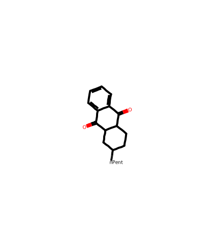 CCCCCC1CCC2C(=O)c3ccccc3C(=O)C2C1